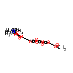 C=CC(=O)OCCCCCCOc1ccc(C(=O)Oc2ccc(OC(=O)c3ccc(OCCCCCCCCOC(=O)CCC(=O)OC4CC(C)(C)N(C)C(C)(C)C4)cc3)cc2)cc1